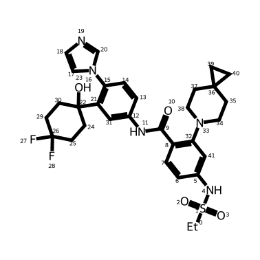 CCS(=O)(=O)Nc1ccc(C(=O)Nc2ccc(-n3ccnc3)c(C3(O)CCC(F)(F)CC3)c2)c(N2CCC3(CC2)CC3)c1